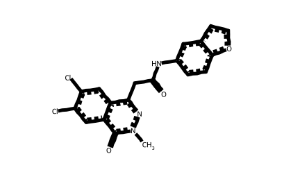 Cn1nc(CC(=O)Nc2ccc3occc3c2)c2cc(Cl)c(Cl)cc2c1=O